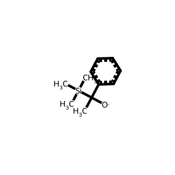 CC([O])(c1ccccc1)[Si](C)(C)C